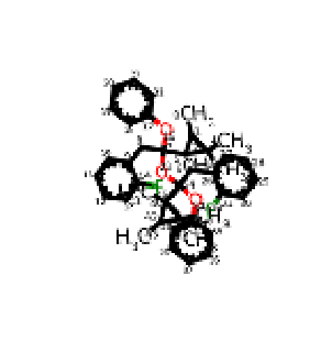 CC1C(C)(C)C1(C)C(Cc1ccccc1F)(Oc1ccccc1)OC(Cc1ccccc1F)(Oc1ccccc1)C1(C)C(C)C1(C)C